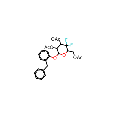 CC(=O)OCC1OC(Oc2ccccc2Cc2ccccc2)C(OC(C)=O)C(OC(C)=O)C1(F)F